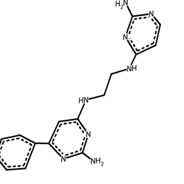 Nc1nccc(NCCNc2cc(-c3ccccc3)nc(N)n2)n1